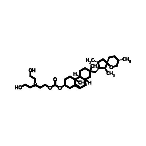 C[C@H]1CC[C@@]2(C[C@@H](C)[C@@H](CC3(C)CC[C@H]4[C@@H](CC=C5C[C@@H](OC(=O)OCCN(CCO)CCO)CC[C@@]54C)C3)[C@@H]2C)OC1